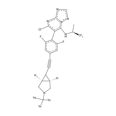 [2H]C([2H])([2H])N1C[C@@H]2C(C#Cc3cc(F)c(-c4c(Cl)nc5ncnn5c4N[C@@H](C)C(F)(F)F)c(F)c3)[C@@H]2C1